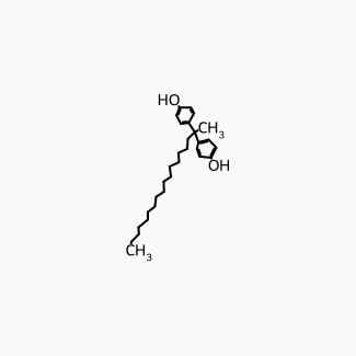 CCCCCCCCCCCCCCCCC(C)(c1ccc(O)cc1)c1ccc(O)cc1